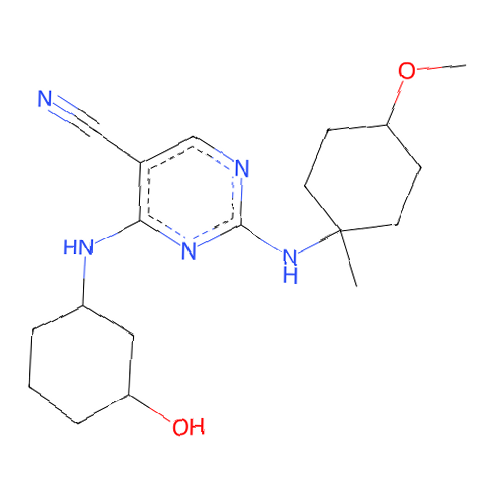 COC1CCC(C)(Nc2ncc(C#N)c(NC3CCCC(O)C3)n2)CC1